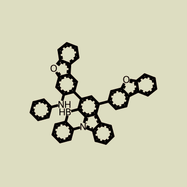 B1c2ccccc2-n2c3ccccc3c3c(-c4ccc5c(c4)oc4ccccc45)cc(-c4cc5c(cc4Nc4ccccc4)oc4ccccc45)c1c32